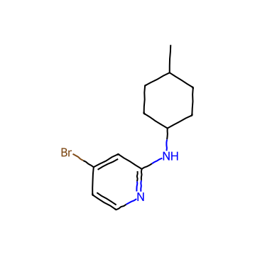 CC1CCC(Nc2cc(Br)ccn2)CC1